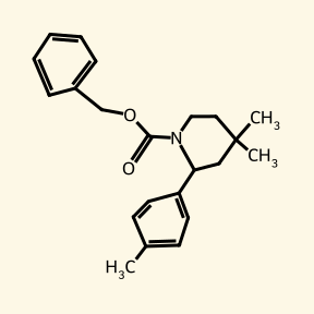 Cc1ccc(C2CC(C)(C)CCN2C(=O)OCc2ccccc2)cc1